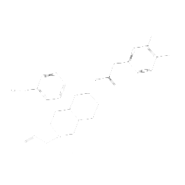 C=CC[N@@+]1(C)CC[C@@]2(c3cccc(OC)c3)C[C@H](NC(=O)Cc3ccc(Cl)c(Cl)c3)CCC2C1